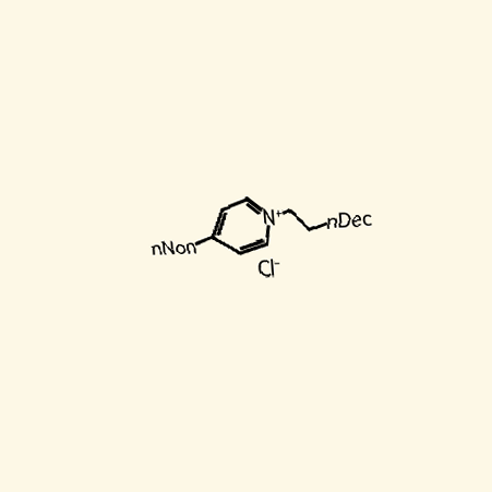 CCCCCCCCCCCC[n+]1ccc(CCCCCCCCC)cc1.[Cl-]